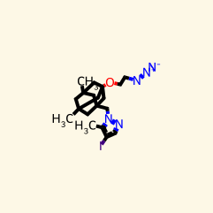 Cc1c(I)cnn1CC12CC3(C)CC(C)(C1)CC(OCCN=[N+]=[N-])(C3)C2